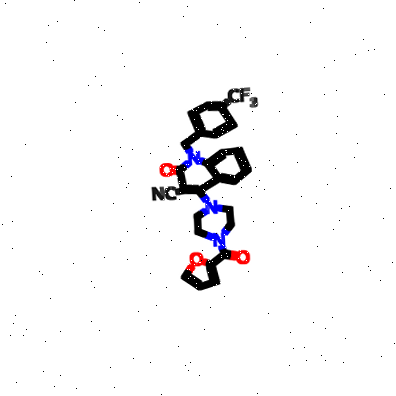 N#Cc1c(N2CCN(C(=O)c3ccco3)CC2)c2ccccc2n(Cc2ccc(C(F)(F)F)cc2)c1=O